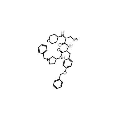 CC(C)C[C@H](NC1CCOCC1)C(=O)N[C@@H](Cc1ccc(OCc2ccccc2)cc1)C(=O)NC1CCN(Cc2ccccc2)C1